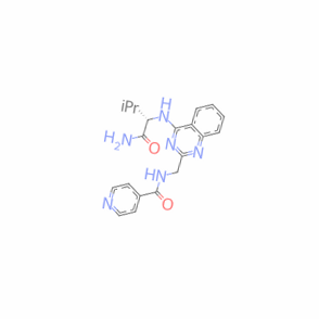 CC(C)[C@H](Nc1nc(CNC(=O)c2ccncc2)nc2ccccc12)C(N)=O